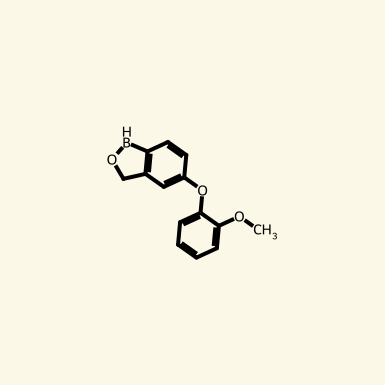 COc1ccccc1Oc1ccc2c(c1)COB2